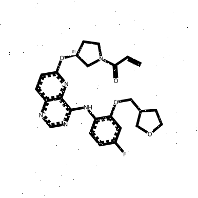 C=CC(=O)N1CC[C@H](Oc2ccc3ncnc(Nc4ccc(F)cc4OCC4CCOC4)c3n2)C1